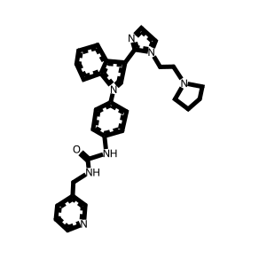 O=C(NCc1cccnc1)Nc1ccc(-n2cc(-c3nccn3CCN3CCCC3)c3ccccc32)cc1